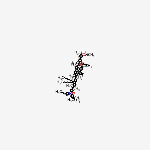 C=CCCOc1cc2c(cc1C(C)C)sc1cc(C(C)(C)C(C)(CC)c3ccc4c(c3)C(c3ccc5c(c3)CC5)(c3ccc5c(c3)CC5)c3cc(C(C)(CC)C(C)(C)c5ccc6c(c5)C(CCCCCCCC)(CCCCCCCC)c5cc(C(C)(CC)c7ccc8c(c7)Oc7cc(C(C)(C)C)ccc7N8c7ccc(CCCC)cc7)ccc5-6)ccc3-4)c(OCCC=C)cc12